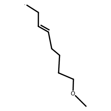 [CH2]CC=CCCCCOC